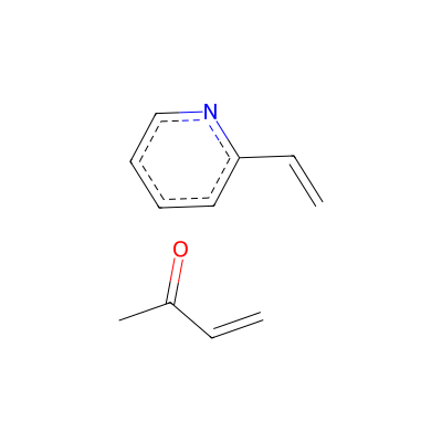 C=CC(C)=O.C=Cc1ccccn1